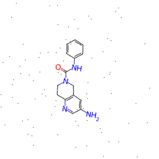 Nc1cnc2c(c1)CN(C(=O)Nc1ccccc1)CC2